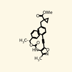 COC(=O)C1(Cc2ccc(C#Cc3onc(C)c3NC(=O)O[C@H](C)c3ccccc3)cc2)CC1